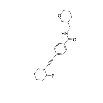 O=C(NCC1CCCOC1)c1ccc(C#CC2=CCCCC2F)cc1